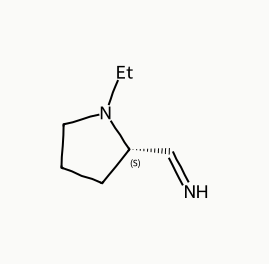 CCN1CCC[C@H]1C=N